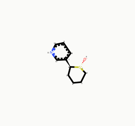 [O-][S@+]1CCCC[C@H]1c1cccnc1